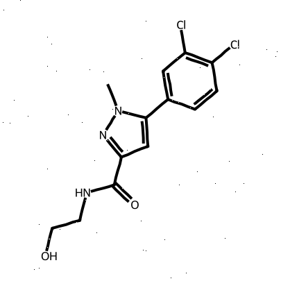 Cn1nc(C(=O)NCCO)cc1-c1ccc(Cl)c(Cl)c1